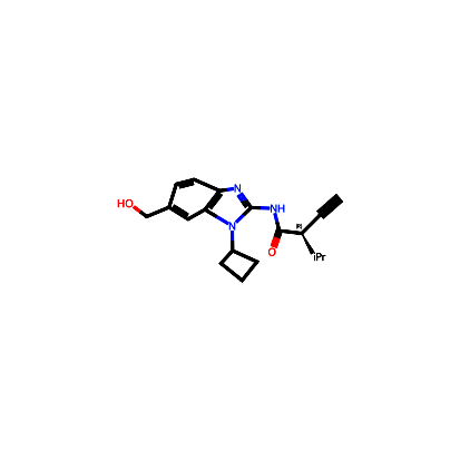 C#C[C@H](C(=O)Nc1nc2ccc(CO)cc2n1C1CCC1)C(C)C